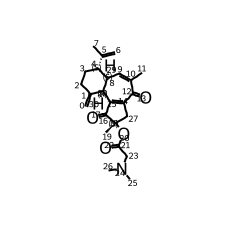 C=C1CC[C@H](C(=C)C)[C@H]2C=C(C)C(=O)C3=C(C(=O)[C@@](C)(OC(=O)CN(C)C)C3)[C@@H]12